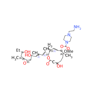 CC[C@H](O)[C@@H](C)[C@H]1O[C@@H]1CC(C)(O)/C=C/C=C(\C)[C@H]1OC(=O)C[C@H](O)CC[C@@](C)(OC)[C@@H](OC(=O)N2CCN(CCN)CC2)/C=C/[C@@H]1C